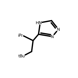 CC(C)C(CC(C)(C)C)c1nnc[nH]1